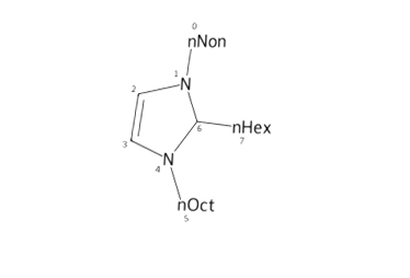 CCCCCCCCCN1C=CN(CCCCCCCC)C1CCCCCC